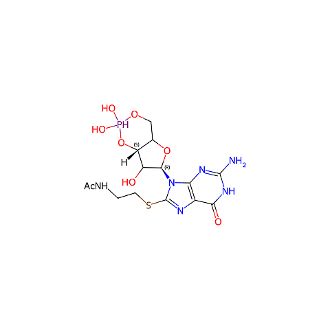 CC(=O)NCCSc1nc2c(=O)[nH]c(N)nc2n1[C@@H]1OC2CO[PH](O)(O)O[C@H]2C1O